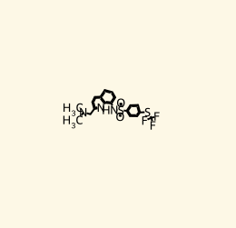 CN(C)Cc1ccc2cccc(NS(=O)(=O)c3ccc(SC(F)(F)F)cc3)c2n1